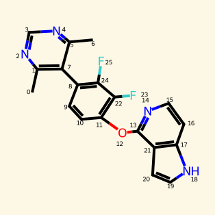 Cc1ncnc(C)c1-c1ccc(Oc2nccc3[nH]ccc23)c(F)c1F